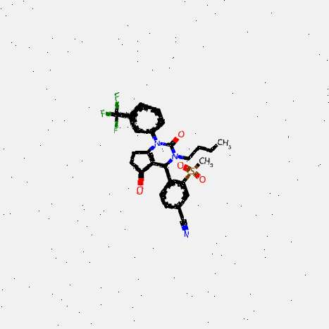 CCCCN1C(=O)N(c2cccc(C(F)(F)F)c2)C2=C(C(=O)CC2)C1c1ccc(C#N)cc1S(C)(=O)=O